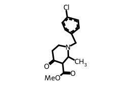 COC(=O)C1C(=O)CCN(Cc2ccc(Cl)cc2)C1C